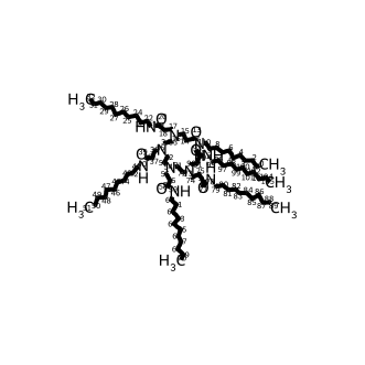 CCCCCCCCCCCNC(=O)CCN(CCC(=O)NCCCCCCCCCCC)CCN(CCC(=O)NCCCCCCCCCCC)CCN(CCC(=O)NCCCCCCCCCCC)CCN(CCC(=O)NCCCCCCCCCCC)CCC(=O)NCCCCCCCCCCC